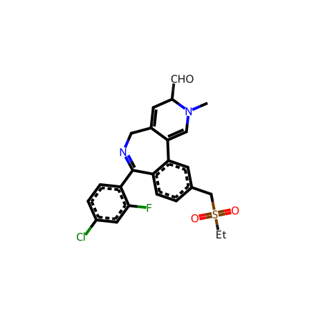 CCS(=O)(=O)Cc1ccc2c(c1)C1=CN(C)C(C=O)C=C1CN=C2c1ccc(Cl)cc1F